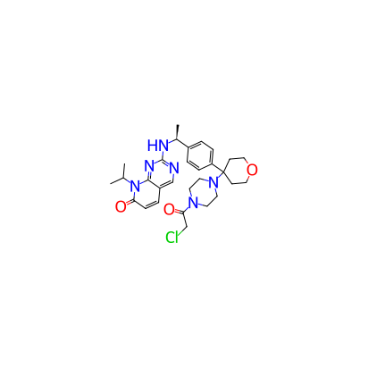 CC(C)n1c(=O)ccc2cnc(N[C@@H](C)c3ccc(C4(N5CCN(C(=O)CCl)CC5)CCOCC4)cc3)nc21